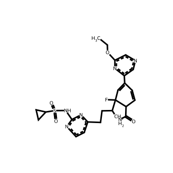 CCOc1cncc(C2=CC(F)(C(C)CCc3ccnc(NS(=O)(=O)C4CC4)n3)C(C(N)=O)C=C2)n1